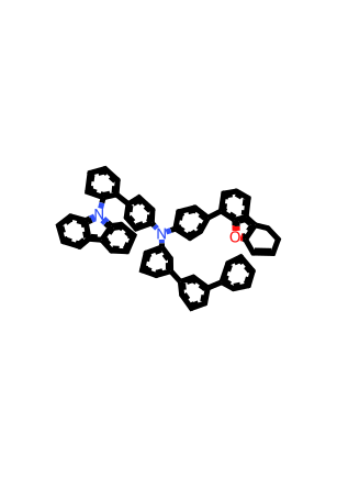 C1=Cc2oc3c(-c4ccc(N(c5ccc(-c6ccccc6-n6c7ccccc7c7ccccc76)cc5)c5cccc(-c6cccc(-c7ccccc7)c6)c5)cc4)cccc3c2CC1